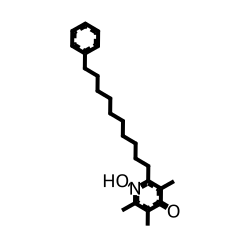 Cc1c(C)n(O)c(CCCCCCCCCCc2ccccc2)c(C)c1=O